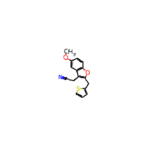 COc1ccc2oc(Cc3cccs3)c(CC#N)c2c1